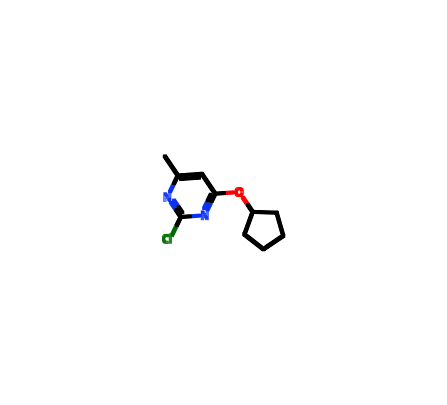 Cc1cc(OC2CCCC2)nc(Cl)n1